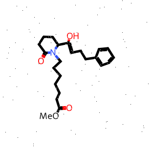 COC(=O)CCCCCCN1C(=O)CCCC1C(O)=CCCc1ccccc1